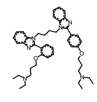 CCN(CC)CCCOc1ccc(-c2nc3ccccc3n2CCCCn2c(-c3ccccc3OCCCN(CC)CC)nc3ccccc32)cc1